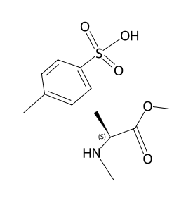 CN[C@@H](C)C(=O)OC.Cc1ccc(S(=O)(=O)O)cc1